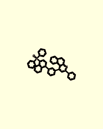 O=P(c1ccccc1)(c1ccccc1)c1ccc(-c2cccc(-c3cc(-c4ccccc4)nc4ccc5ccccc5c34)c2)c2ccccc12